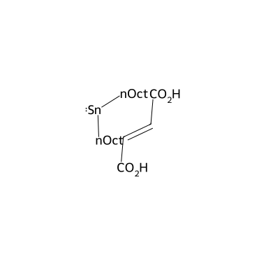 CCCCCCC[CH2][Sn][CH2]CCCCCCC.O=C(O)C=CC(=O)O